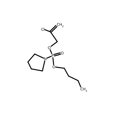 C=C(Cl)COP(=O)(OCCCC)N1CCCC1